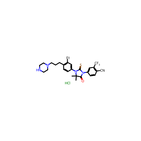 CCc1cc(N2C(=S)N(c3ccc(C#N)c(C(F)(F)F)c3)C(=O)C2(C)C)ccc1CCCN1CCNCC1.Cl